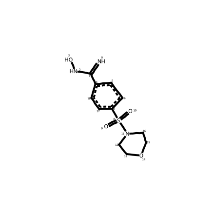 N=C(NO)c1ccc(S(=O)(=O)N2CCOCC2)cc1